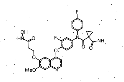 COc1cc2nccc(Oc3ccc(N(C(=O)C4(C(N)=O)CC4)c4ccc(F)cc4)cc3F)c2cc1OCCC(=O)NO